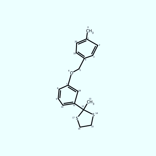 Cc1ccc(COc2cccc(C3(C)SCCS3)c2)cc1